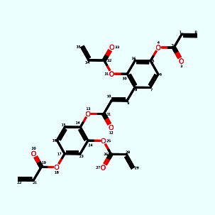 C=CC(=O)Oc1ccc(/C=C/C(=O)Oc2ccc(OC(=O)C=C)cc2OC(=O)C=C)c(OC(=O)C=C)c1